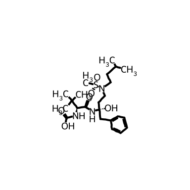 CC(C)CCN(CC[C@@](O)(Cc1ccccc1)NC(=O)[C@@H](NC(=O)O)C(C)(C)C)S(C)(=O)=O